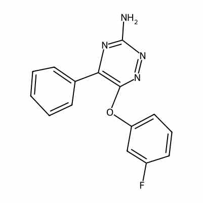 Nc1nnc(Oc2cccc(F)c2)c(-c2ccccc2)n1